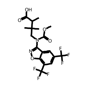 COC(=O)N(CC(C)(C)C(C)C(=O)O)c1noc2c(C(F)(F)F)cc(C(F)(F)F)cc12